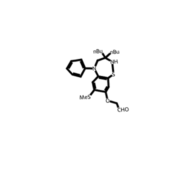 CCCCC1(CCCC)CN(c2ccccc2)c2cc(SC)c(OCC=O)cc2SN1